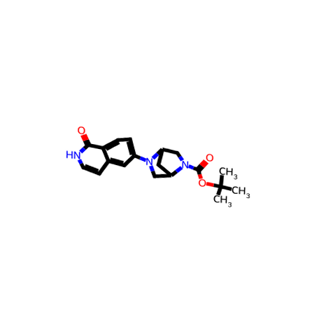 CC(C)(C)OC(=O)N1CC2CC1CN2c1ccc2c(=O)[nH]ccc2c1